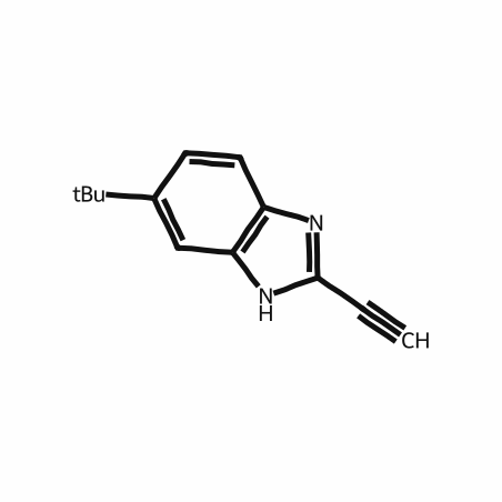 C#Cc1nc2ccc(C(C)(C)C)cc2[nH]1